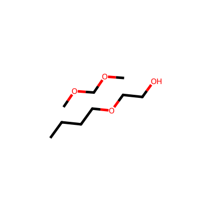 CCCCOCCO.COCOC